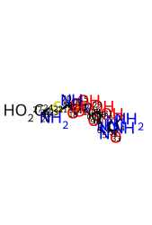 Nc1nc2c(ncn2[C@@H]2O[C@H](COP(=O)(O)OC(=O)[C@@H](N)CSSC[C@H](N)C(=O)O)[C@@H](O)[C@H]2O)c(=O)[nH]1